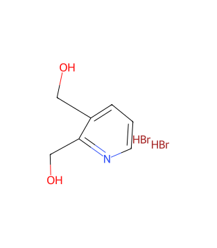 Br.Br.OCc1cccnc1CO